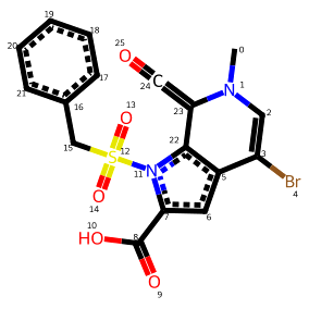 CN1C=C(Br)c2cc(C(=O)O)n(S(=O)(=O)Cc3ccccc3)c2C1=C=O